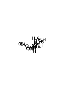 CC1CC(CC(C#N)NC(=O)C(CC2CC2)NC(=O)c2cc3c(OCCN4CCOCC4)cccc3[nH]2)C(=O)N1